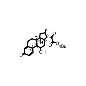 CCCCOC(=O)C(=O)[C@H]1C(C)C[C@H]2[C@@H]3CCC4=CC(=O)C=C[C@]4(C)[C@H]3C(O)C[C@]12C